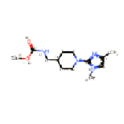 CC(C)n1cc(C(F)(F)F)nc1N1CCC(CNC(=O)OC(C)(C)C)CC1